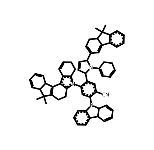 CC1(C)C2=C(c3c4c(n(-c5cc(N6c7ccccc7C7C=CC=CC76)c(C#N)cc5C5C=CC(C6=CCC7C(=C6)c6ccccc6C7(C)C)N5C5=CC=CCC5)c3CC2)CCC=C4)C2C=CC=CC21